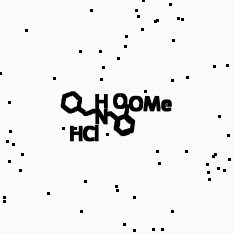 COC(=O)c1ccccc1CNCCC1CCCCC1.Cl